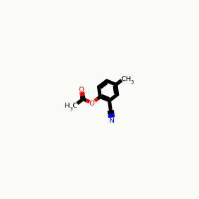 CC(=O)Oc1ccc(C)cc1C#N